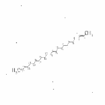 C/C=C/CCCCCCCCCCCCCCCCCCCCCC